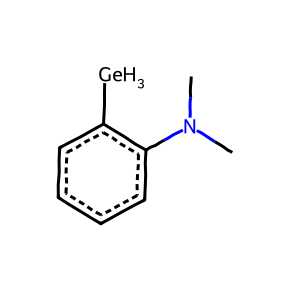 CN(C)c1cccc[c]1[GeH3]